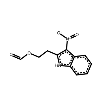 O=COCCc1[nH]c2ccccc2c1[N+](=O)[O-]